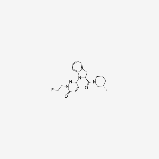 C[C@H]1CCCN(C(=O)[C@@H]2Cc3ccccc3N2c2ccc(=O)n(CCF)n2)C1